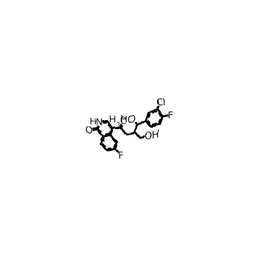 CC([CH]C(CO)C(O)c1ccc(F)c(Cl)c1)c1c[nH]c(=O)c2ccc(F)cc12